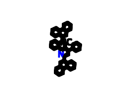 N#Cc1ccccc1-c1cc(-c2cc3ccccc3c3ccccc23)nc2c1cc(-c1cc3ccccc3c3ccccc13)c1ccccc12